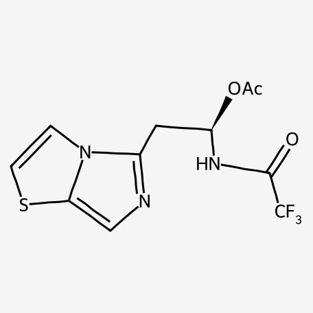 CC(=O)O[C@H](Cc1ncc2sccn12)NC(=O)C(F)(F)F